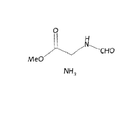 COC(=O)CNC=O.N